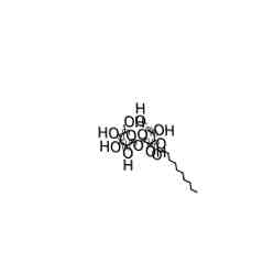 CCCCCCCCCC(=O)O[C@@H]1[C@@H](O)[C@@H](O[C@H]2O[C@H](CO)[C@@H](O)[C@H](O)[C@H]2O)O[C@H](CO)[C@H]1O